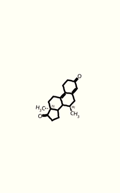 C[C@@H]1CC2=CC(=O)CCC2=C2CC[C@]3(C)C(=O)CCC3C21